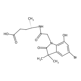 C[C@@H](CCC(=O)O)NC(=O)CN1C(=O)C(C)(C)c2cc(Br)cc(O)c21